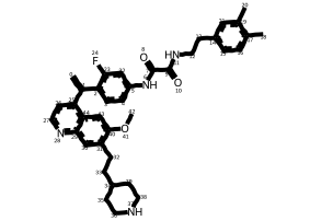 C=C(c1ccc(NC(=O)C(=O)NCCc2ccc(C)c(C)c2)cc1F)c1ccnc2cc(CCC3CCNCC3)c(OC)cc12